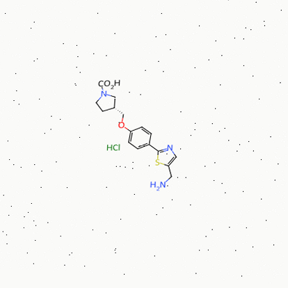 Cl.NCc1cnc(-c2ccc(OC[C@@H]3CCN(C(=O)O)C3)cc2)s1